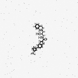 CC(C)n1cc(-c2ccc3nc(C(=O)NC[C@H](O)CN4CCc5ccccc5C4)cn3c2)nn1